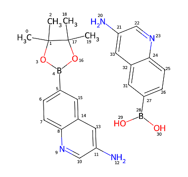 CC1(C)OB(c2ccc3ncc(N)cc3c2)OC1(C)C.Nc1cnc2ccc(B(O)O)cc2c1